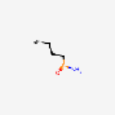 CCCCCC[P](N)=O